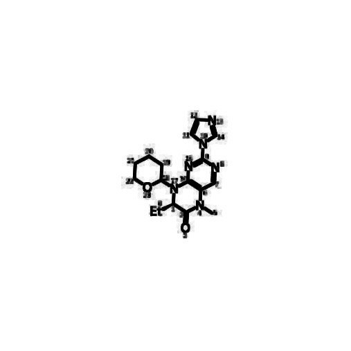 CC[C@@H]1C(=O)N(C)c2cnc(-n3ccnc3)nc2N1C1CCCCO1